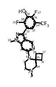 CN1CCN(c2cc3c(cn2)c(-c2cc(C(F)(F)F)c(F)c(O)c2F)nn3C)C2(CCC2)C1